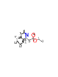 CCOC(=O)Cc1nccc2ccccc12